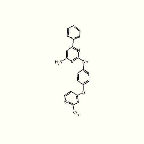 Nc1cc(-c2ccccc2)nc(Nc2ccc(Oc3ccnc(C(F)(F)F)c3)cc2)n1